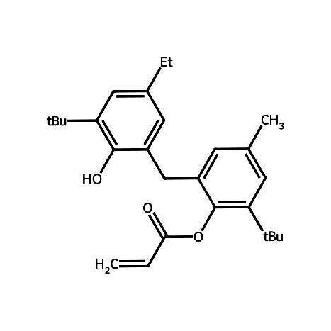 C=CC(=O)Oc1c(Cc2cc(CC)cc(C(C)(C)C)c2O)cc(C)cc1C(C)(C)C